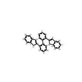 C1=C(c2ccccc2-c2ccccc2C2=Cc3ccccc3C2)Cc2ccccc21